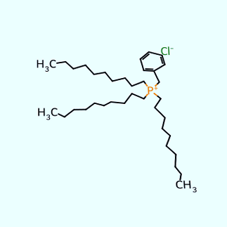 CCCCCCCCCC[P+](CCCCCCCCCC)(CCCCCCCCCC)Cc1ccccc1.[Cl-]